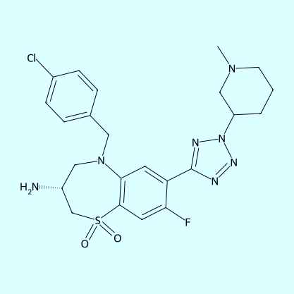 CN1CCCC(n2nnc(-c3cc4c(cc3F)S(=O)(=O)C[C@H](N)CN4Cc3ccc(Cl)cc3)n2)C1